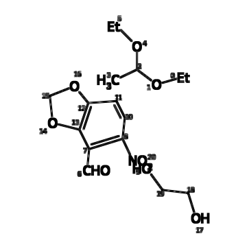 CCOC(C)OCC.O=Cc1c([N+](=O)[O-])ccc2c1OCO2.OCCO